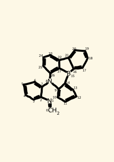 C=Nc1ccccc1N1c2ccccc2B2c3ccccc3-c3cccc1c32